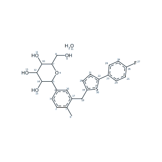 Cc1ccc(C2OC(CO)C(O)C(O)C2O)cc1Cc1ccc(-c2ccc(F)cc2)s1.O